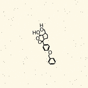 O=C(c1ccc(OCc2ccccc2)cc1)C1CCC(CO)C1C(=O)O